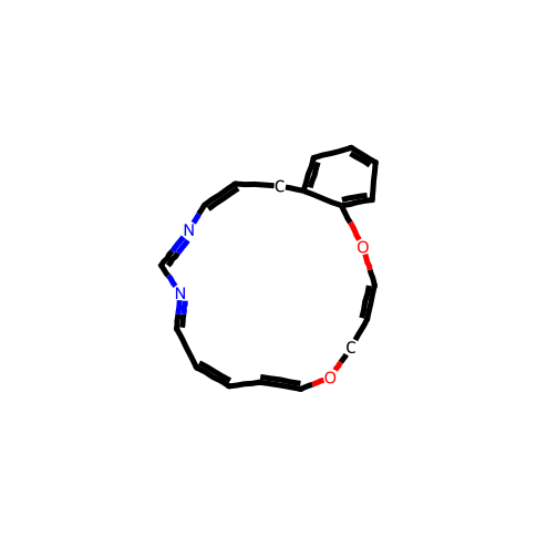 C1=C\C=N\C=N\C=C/Cc2ccccc2O/C=C\CO/C=C/1